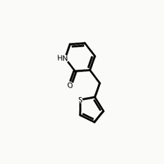 O=c1[nH]cccc1Cc1cccs1